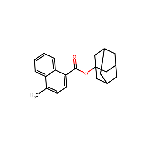 Cc1ccc(C(=O)OC23CC4CC(CC(C4)C2)C3)c2ccccc12